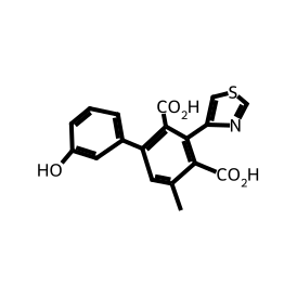 Cc1cc(-c2cccc(O)c2)c(C(=O)O)c(-c2cscn2)c1C(=O)O